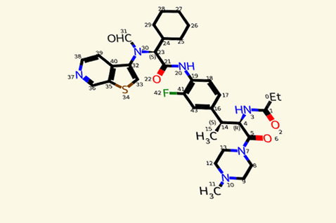 CCC(=O)N[C@@H](C(=O)N1CCN(C)CC1)[C@@H](C)c1ccc(NC(=O)[C@H](C2CCCCC2)N(C=O)c2csc3cnccc23)c(F)c1